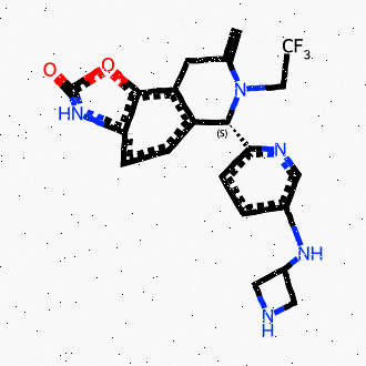 C=C1Cc2c(ccc3[nH]c(=O)oc23)[C@@H](c2ccc(NC3CNC3)cn2)N1CC(F)(F)F